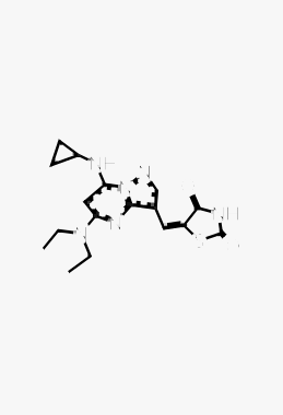 CCN(CC)c1cc(NC2CC2)n2ncc(/C=C3/SC(=O)NC3=O)c2n1